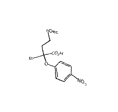 CCCCCCCCCCCCC(CC)(Oc1ccc([N+](=O)[O-])cc1)C(=O)O